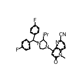 CC(C)C1CN(c2cc(=O)n(C)c3ccc(C#N)nc23)CCN1C(c1ccc(F)cc1)c1ccc(F)cc1